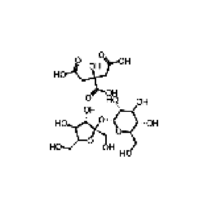 O=C(O)CC(O)(CC(=O)O)C(=O)O.OC[C@H]1O[C@@](CO)(O[C@H]2O[C@H](CO)[C@@H](O)[C@H](O)[C@H]2O)[C@@H](O)[C@@H]1O